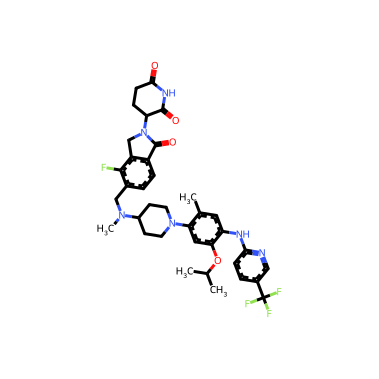 Cc1cc(Nc2ccc(C(F)(F)F)cn2)c(OC(C)C)cc1N1CCC(N(C)Cc2ccc3c(c2F)CN(C2CCC(=O)NC2=O)C3=O)CC1